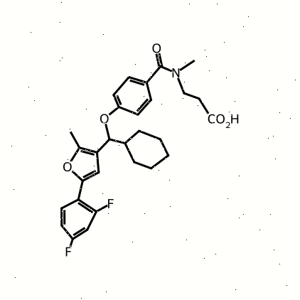 Cc1oc(-c2ccc(F)cc2F)cc1C(Oc1ccc(C(=O)N(C)CCC(=O)O)cc1)C1CCCCC1